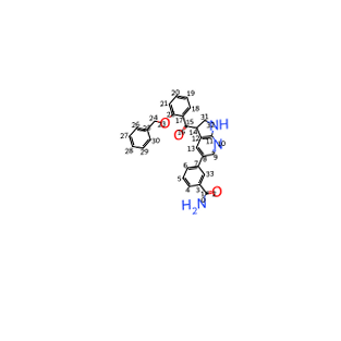 NC(=O)c1cccc(-c2cnc3c(c2)C(C(=O)c2ccccc2OCc2ccccc2)CN3)c1